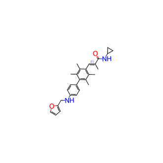 C/C(=C\c1c(C)c(C)c(-c2ccc(NCc3ccco3)cc2)c(C)c1C)C(=O)NC1CC1